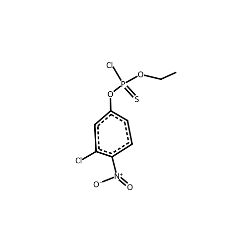 CCOP(=S)(Cl)Oc1ccc([N+](=O)[O-])c(Cl)c1